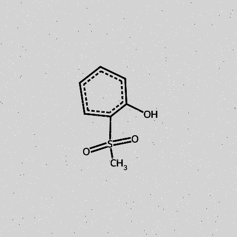 CS(=O)(=O)c1ccccc1O